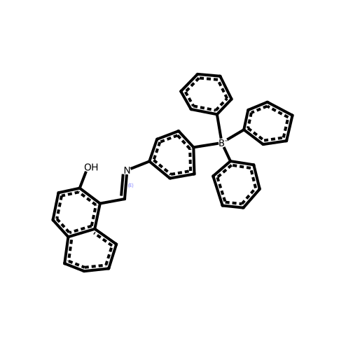 Oc1ccc2ccccc2c1/C=N/c1ccc([B-](c2ccccc2)(c2ccccc2)c2ccccc2)cc1